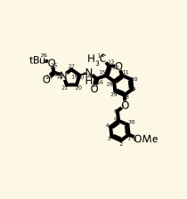 COc1cccc(COc2ccc3oc(C)c(C(=O)N[C@H]4CCN(C(=O)OC(C)(C)C)C4)c3c2)c1